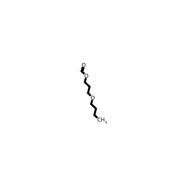 CCCCOCCCO[C]=O